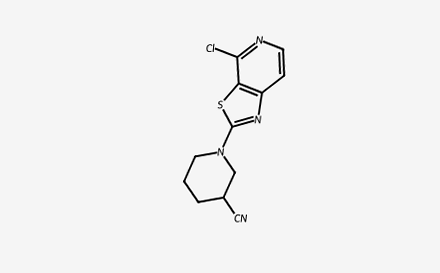 N#CC1CCCN(c2nc3ccnc(Cl)c3s2)C1